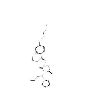 CCCCOc1ccc2c(c1)OCC/C2=N\N1CC(=O)N(C(CCC)n2cccc2)C1=O